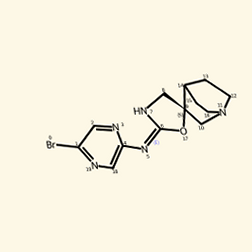 Brc1cnc(/N=C2\NC[C@@]3(CN4CCC3CC4)O2)cn1